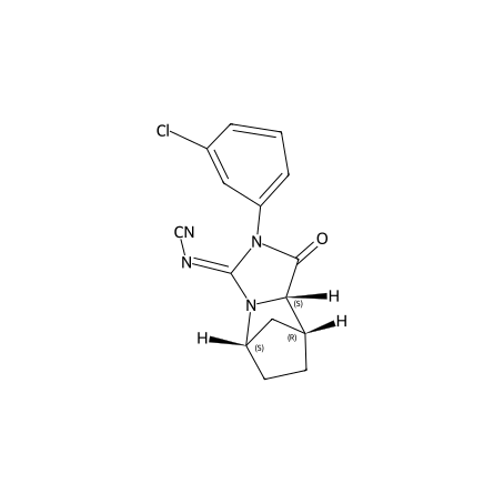 N#CN=C1N(c2cccc(Cl)c2)C(=O)[C@@H]2[C@@H]3CC[C@@H](C3)N12